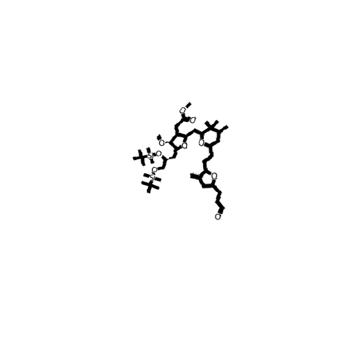 C=C1CC(CCC=O)OC1CCC1CC(C)C(C)(C)C(CC2OC(C[C@@H](CO[Si](C)(C)C(C)(C)C)O[Si](C)(C)C(C)(C)C)[C@H](OC)C2CC(=O)OC)O1